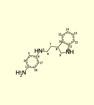 Nc1ccc(NCCC2CNc3ccccc32)cc1